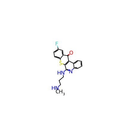 CNCCCNc1nc2ccccc2c2c(=O)c3cc(F)ccc3sc12